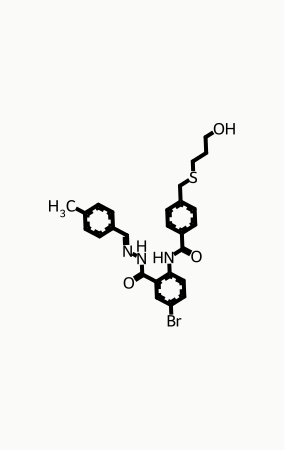 Cc1ccc(/C=N/NC(=O)c2cc(Br)ccc2NC(=O)c2ccc(CSCCCO)cc2)cc1